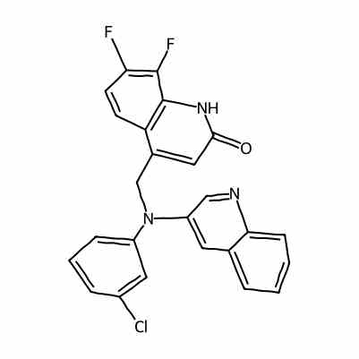 O=c1cc(CN(c2cccc(Cl)c2)c2cnc3ccccc3c2)c2ccc(F)c(F)c2[nH]1